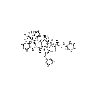 CC(C)CC(COCc1ccccc1)([C@@H](O)CNC(=O)CCc1ccccc1)N(C(=O)[C@H](Cc1ccccc1)NC(=O)OC(C)(C)C)[C@@H](Cc1c[nH]cn1)C(N)=O